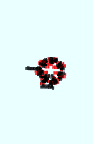 CCCCCCCCCC.CCCCCCCCCC.CCCCCCCCCC.CCCCCCCCCC.O=S(=O)(O)OC[C@H]1O[C@@H]2O[C@H]3[C@H](O)[C@@H](O)[C@@H](O[C@H]4[C@H](O)[C@@H](O)[C@@H](O[C@H]5[C@H](O)[C@@H](O)[C@@H](O[C@H]6[C@H](O)[C@@H](O)[C@@H](O[C@H]7[C@H](O)[C@@H](O)[C@@H](O[C@H]8[C@H](O)[C@@H](O)[C@@H](O[C@H]1[C@H](O)[C@H]2O)O[C@@H]8CO)O[C@@H]7CO)O[C@@H]6CO)O[C@@H]5CO)O[C@@H]4CO)O[C@@H]3CO